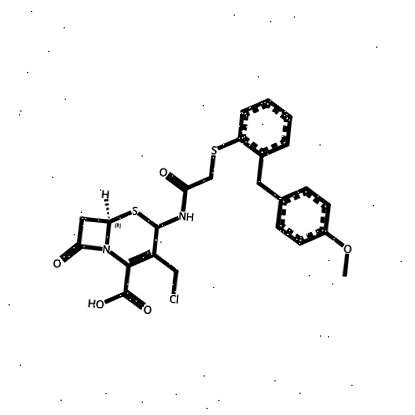 COc1ccc(Cc2ccccc2SCC(=O)NC2S[C@@H]3CC(=O)N3C(C(=O)O)=C2CCl)cc1